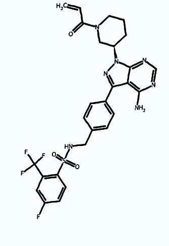 C=CC(=O)N1CCC[C@@H](n2nc(-c3ccc(CNS(=O)(=O)c4ccc(F)cc4C(F)(F)F)cc3)c3c(N)ncnc32)C1